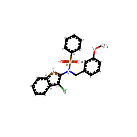 COc1cccc(CN(c2sc3ccccc3c2Br)S(=O)(=O)c2ccccc2)c1